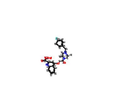 C[C@@H]1CN(C(=O)COc2cc(C(=O)O)nc3ccccc23)[C@@H](C)CN1Cc1ccc(F)cc1